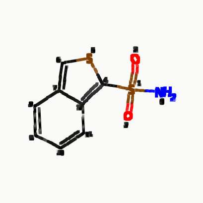 NS(=O)(=O)c1scc2ccccc12